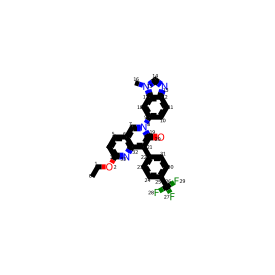 CCOc1ccc2cn(-c3ccc4ncn(C)c4c3)c(=O)c(-c3ccc(C(F)(F)F)cc3)c2n1